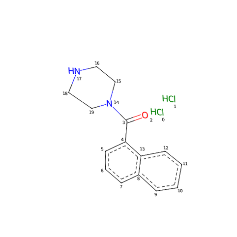 Cl.Cl.O=C(c1cccc2ccccc12)N1CCNCC1